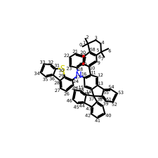 CC1(C)CCC(C)(C)c2cc(-c3cc4c(cc3N(c3ccccc3)c3cccc5c3sc3ccccc35)C3(c5ccccc5-c5ccccc53)c3ccccc3-4)ccc21